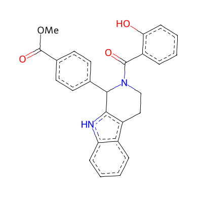 COC(=O)c1ccc(C2c3[nH]c4ccccc4c3CCN2C(=O)c2ccccc2O)cc1